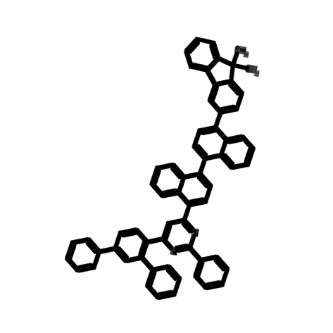 CC1(C)c2ccccc2-c2cc(-c3ccc(-c4ccc(-c5cc(-c6ccc(-c7ccccc7)cc6-c6ccccc6)nc(-c6ccccc6)n5)c5ccccc45)c4ccccc34)ccc21